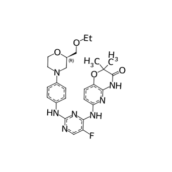 CCOC[C@H]1CN(c2ccc(Nc3ncc(F)c(Nc4ccc5c(n4)NC(=O)C(C)(C)O5)n3)cc2)CCO1